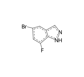 Fc1cc(Br)cc2cn[nH]c12